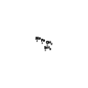 O.[Fe].[Mo].[SrH2]